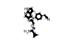 N#CC[C@H]1CC[C@H](n2c(CO/N=C(\N)C3CC3)nc3cnc4[nH]ccc4c32)CC1